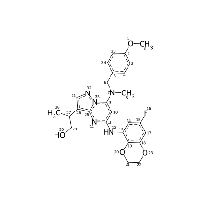 COc1ccc(CN(C)c2cc(Nc3cc(F)cc4c3OCCO4)nc3c(C(C)CO)cnn23)cc1